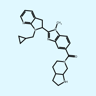 Cn1c(C2Cc3cccnc3N2CC2CC2)nc2cc(C(=O)N3CCC4CCNC4C3)ccc21